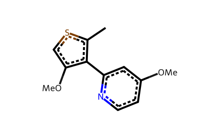 COc1ccnc(-c2c(OC)csc2C)c1